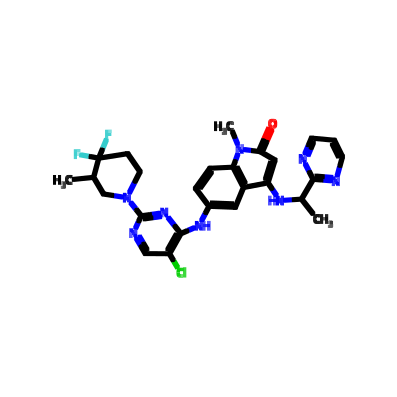 CC(Nc1cc(=O)n(C)c2ccc(Nc3nc(N4CCC(F)(F)C(C)C4)ncc3Cl)cc12)c1ncccn1